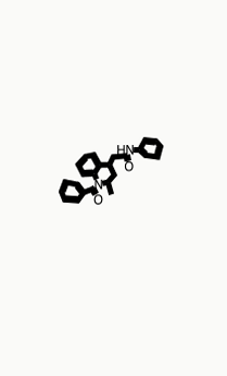 CC1CC(CC(=O)Nc2ccccc2)c2ccccc2N1C(=O)c1ccccc1